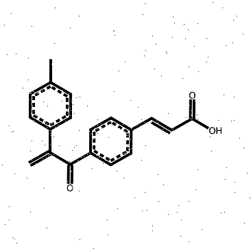 C=C(C(=O)c1ccc(C=CC(=O)O)cc1)c1ccc(C)cc1